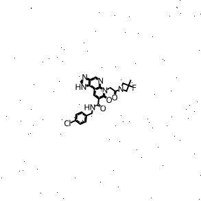 CC1(F)CN(C(=O)Cn2c(=O)c(C(=O)NCc3ccc(Cl)cc3)cc3c4[nH]cnc4cnc32)C1